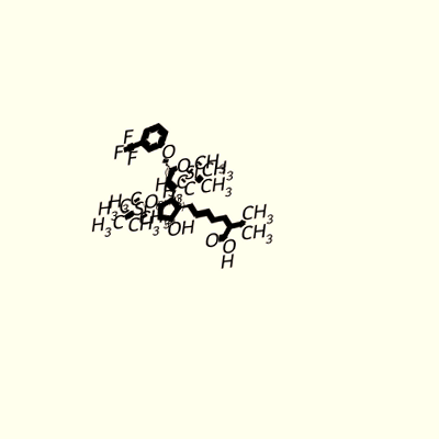 CC(C)C(CCC=CC[C@@H]1[C@@H](C=C[C@H](COc2cccc(C(F)(F)F)c2)O[Si](C)(C)C(C)(C)C)[C@H](O[Si](C)(C)C(C)(C)C)C[C@@H]1O)C(=O)O